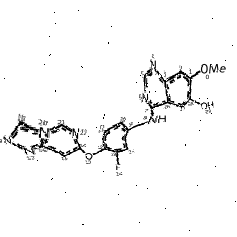 COc1cc2ncnc(Nc3ccc(Oc4cc5nncn5cn4)c(F)c3)c2cc1O